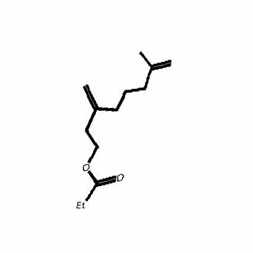 C=C(C)CCCC(=C)CCOC(=O)CC